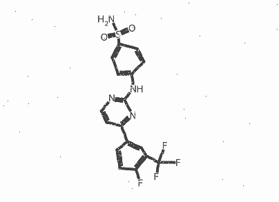 NS(=O)(=O)c1ccc(Nc2nccc(-c3ccc(F)c(C(F)(F)F)c3)n2)cc1